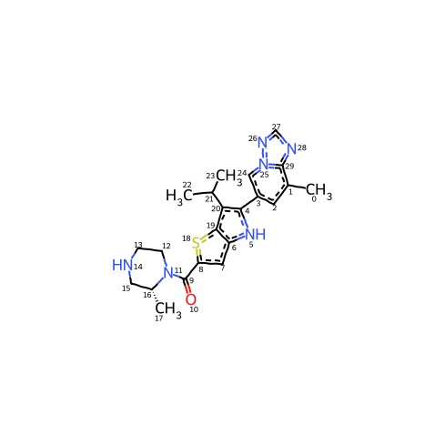 Cc1cc(-c2[nH]c3cc(C(=O)N4CCNC[C@H]4C)sc3c2C(C)C)cn2ncnc12